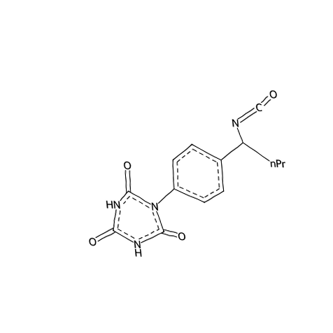 CCCC(N=C=O)c1ccc(-n2c(=O)[nH]c(=O)[nH]c2=O)cc1